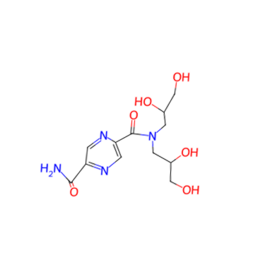 NC(=O)c1cnc(C(=O)N(CC(O)CO)CC(O)CO)cn1